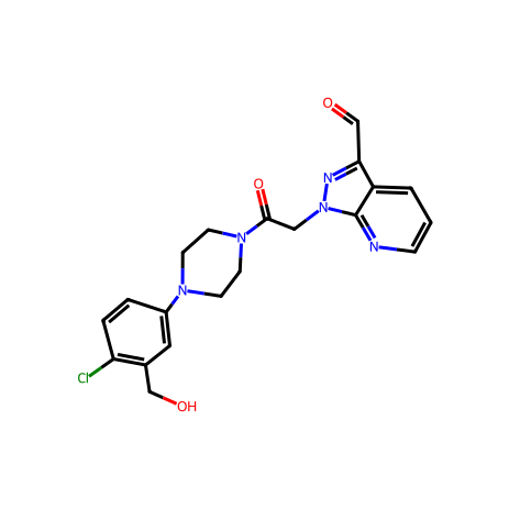 O=Cc1nn(CC(=O)N2CCN(c3ccc(Cl)c(CO)c3)CC2)c2ncccc12